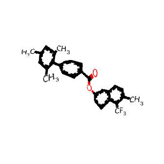 Cc1cc(C)c(-c2ccc(C(=O)Oc3ccc4c(C(F)(F)F)c(C)ccc4c3)cc2)c(C)c1